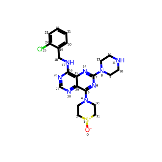 [O-][S+]1CCN(c2nc(N3CCNCC3)nc3c(NCc4ccccc4Cl)ncnc23)CC1